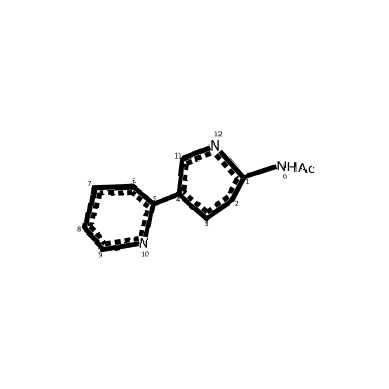 CC(=O)Nc1ccc(-c2ccc[c]n2)cn1